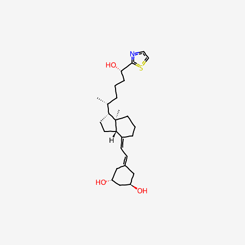 C[C@H](CCC[C@H](O)c1nccs1)[C@H]1CC[C@H]2/C(=C/C=C3C[C@@H](O)C[C@H](O)C3)CCC[C@]12C